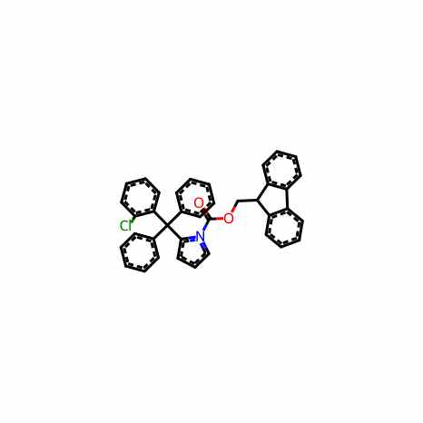 O=C(OCC1c2ccccc2-c2ccccc21)n1cccc1C(c1ccccc1)(c1ccccc1)c1ccccc1Cl